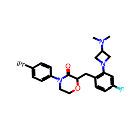 CC(C)c1ccc(N2CCOC(Cc3ccc(F)cc3N3CC(N(C)C)C3)C2=O)cc1